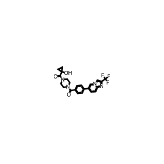 O=C(c1ccc(-c2ccc3nc(C(F)(F)F)cn3c2)cc1)N1CCN(C(=O)C2(O)CC2)CC1